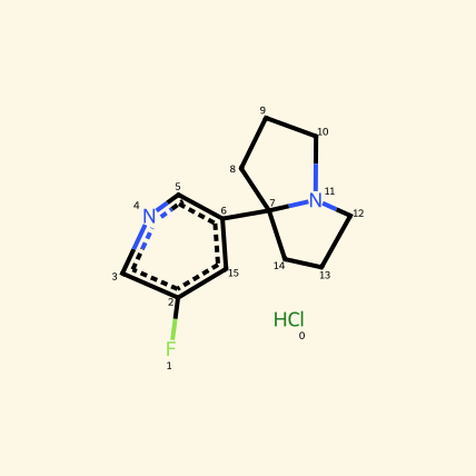 Cl.Fc1cncc(C23CCCN2CCC3)c1